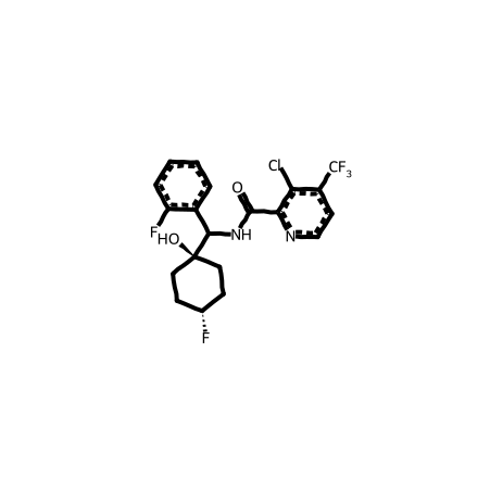 O=C(NC(c1ccccc1F)[C@]1(O)CC[C@H](F)CC1)c1nccc(C(F)(F)F)c1Cl